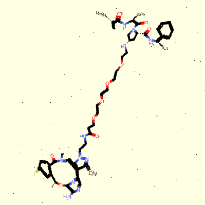 CC[C@@H](NC(=O)[C@@H]1C[C@H](NCCOCCOCCOCCOCCC(=O)NCCn2nc(C#N)c3c2CN(C)C(=O)c2ccc(F)cc2[C@@H](C)Oc2nc-3cnc2N)CN1C(=O)[C@@H](NC(=O)[C@H](C)NC)C(C)(C)C)c1ccccc1